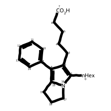 CCCCCCc1c(CCCCC(=O)O)c(-c2ccccc2)c2n1CCC2